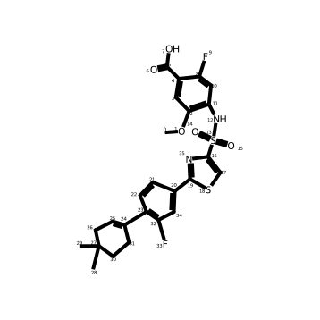 COc1cc(C(=O)O)c(F)cc1NS(=O)(=O)c1csc(-c2ccc(C3=CCC(C)(C)CC3)c(F)c2)n1